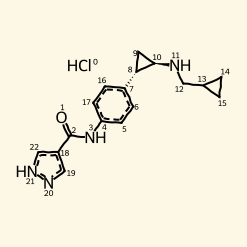 Cl.O=C(Nc1ccc([C@@H]2C[C@H]2NCC2CC2)cc1)c1cn[nH]c1